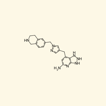 Nc1cc(Cc2cnn(Cc3ccc4c(c3)CCNC4)c2)c2c(n1)NNN2